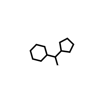 [CH2]C(C1CCCCC1)C1CCCC1